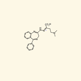 CN(C)CC/C(=N/NC1=Nc2ccccc2C(c2ccccc2)=NC1)C(=O)O